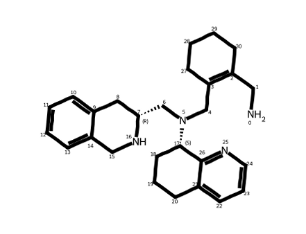 NCC1=C(CN(C[C@H]2Cc3ccccc3CN2)[C@H]2CCCc3cccnc32)CCCC1